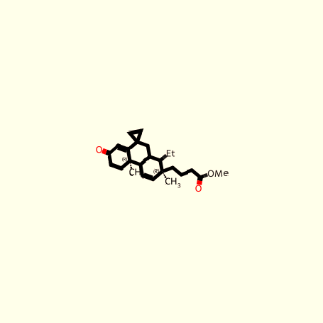 CCC1C2CC3(CC3)C3=CC(=O)CC[C@]3(C)C2C=C[C@]1(C)CCCC(=O)OC